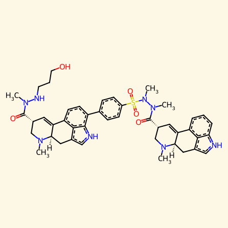 CN(NCCCO)C(=O)[C@@H]1C=C2c3ccc(-c4ccc(S(=O)(=O)N(C)N(C)C(=O)[C@@H]5C=C6c7cccc8[nH]cc(c78)C[C@H]6N(C)C5)cc4)c4[nH]cc(c34)C[C@H]2N(C)C1